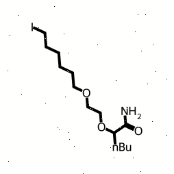 CCCCC(OCCOCCCCCCI)C(N)=O